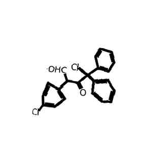 O=[C]C(C(=O)C(Cl)(c1ccccc1)c1ccccc1)c1ccc(Cl)cc1